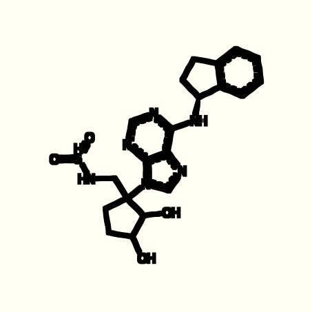 O=[SH](=O)NCC1(n2cnc3c(N[C@H]4CCc5ccccc54)ncnc32)CCC(O)C1O